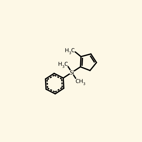 CC1=C([Si](C)(C)c2ccccc2)CC=C1